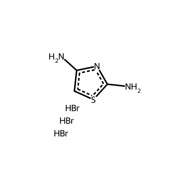 Br.Br.Br.Nc1csc(N)n1